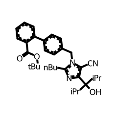 CCCCc1nc(C(O)(C(C)C)C(C)C)c(C#N)n1Cc1ccc(-c2ccccc2C(=O)OC(C)(C)C)cc1